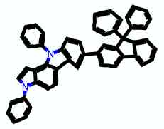 c1ccc(-n2ccc3c2ccc2c4cc(-c5ccc6c(c5)C(c5ccccc5)(c5ccccc5)c5ccccc5-6)ccc4n(-c4ccccc4)c23)cc1